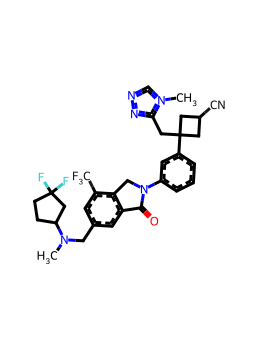 CN(Cc1cc2c(c(C(F)(F)F)c1)CN(c1cccc(C3(Cc4nncn4C)CC(C#N)C3)c1)C2=O)C1CCC(F)(F)C1